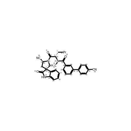 CC(C)C[C@@H](C(=O)N1C[C@]2(C[C@H]1C#N)C(=O)Nc1ccccc12)N(C)C(=O)c1cccc(-c2ccc(C#N)cc2)c1